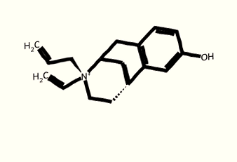 C=CC[N@+]1(C=C)CC[C@@]23CCCCC2C1Cc1ccc(O)cc13